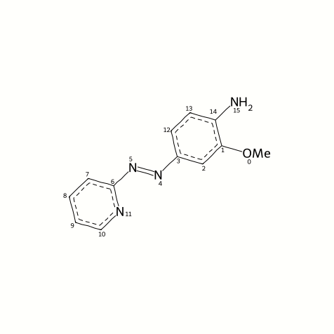 COc1cc(N=Nc2ccccn2)ccc1N